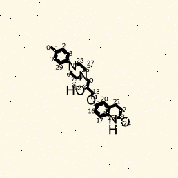 Cc1ccc(N2C[C@@H](C)N(C[C@H](O)COc3ccc4c(c3)CCC(=O)N4)[C@@H](C)C2)cc1